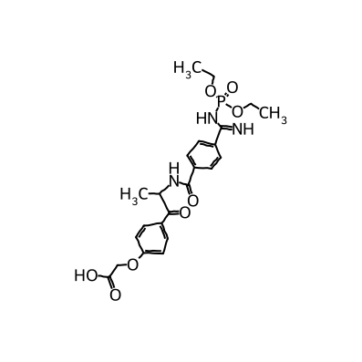 CCOP(=O)(NC(=N)c1ccc(C(=O)NC(C)C(=O)c2ccc(OCC(=O)O)cc2)cc1)OCC